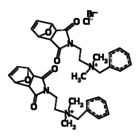 C[N+](C)(CCN1C(=O)C2C3C=CC(O3)C2C1=O)Cc1ccccc1.C[N+](C)(CCN1C(=O)C2C3C=CC(O3)C2C1=O)Cc1ccccc1.[Br-].[Cl-]